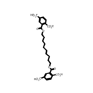 O=C(O)c1ccc(C(=O)O)c(C(=O)OCCCCCCCCCCOC(=O)c2cc(C(=O)O)ccc2C(=O)O)c1